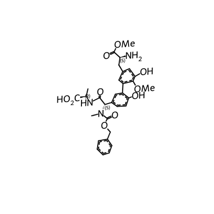 COC(=O)[C@@H](N)Cc1cc(O)c(OC)c(-c2cc([C@@H](C(=O)N[C@H](C)C(=O)O)N(C)C(=O)OCc3ccccc3)ccc2O)c1